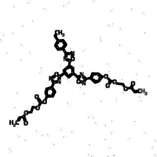 C=CC(=O)OCCOC(=O)Oc1ccc(-c2noc(-c3cc(-c4nc(-c5ccc(C=C)cc5)no4)cc(-c4nc(-c5ccc(OC(=O)OCCOC(=O)C=C)cc5)no4)c3)n2)cc1